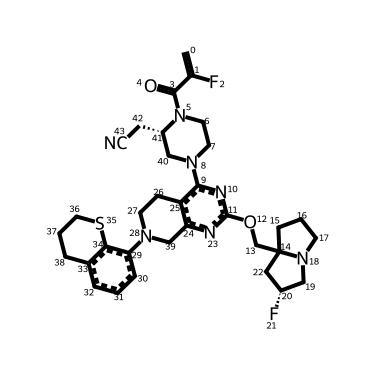 C=C(F)C(=O)N1CCN(c2nc(OCC34CCCN3C[C@H](F)C4)nc3c2CCN(c2cccc4c2SCCC4)C3)C[C@@H]1CC#N